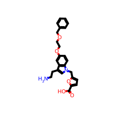 NCCc1cn(Cc2ccc(C(=O)O)o2)c2ccc(OCCOCc3ccccc3)cc12